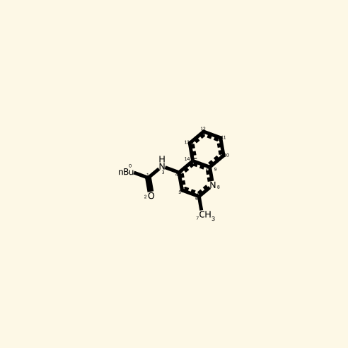 CCCCC(=O)Nc1cc(C)nc2ccccc12